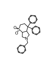 O=S1(=O)CCC(c2ccccc2)(c2ccccc2)C2CN(Cc3ccccc3)CC21